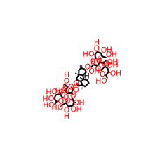 C=C1C[C@@]2(C)CCC3[C@](C)(C(=O)OC(O)/C(OC4OC(CO)C(O)C(O)C4O)=C(/OC4OC(CO)C(O)C(O)C4O)C(O)CCO)CCC[C@@]3(C)[C@@H]2CC1OC(O)/C(OC1OC(CO)C(O)C(O)C1O)=C(\OC1OC(CO)C(O)C(O)C1O)C(O)CCO